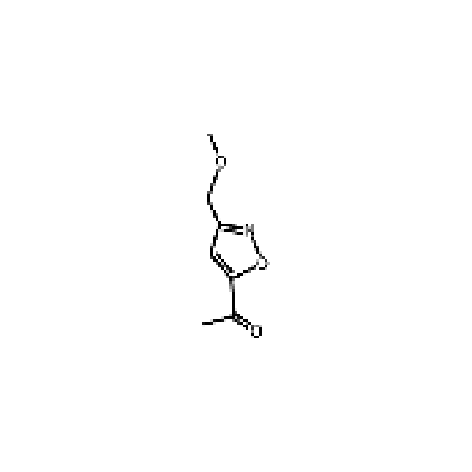 COCc1cc(C(C)=O)on1